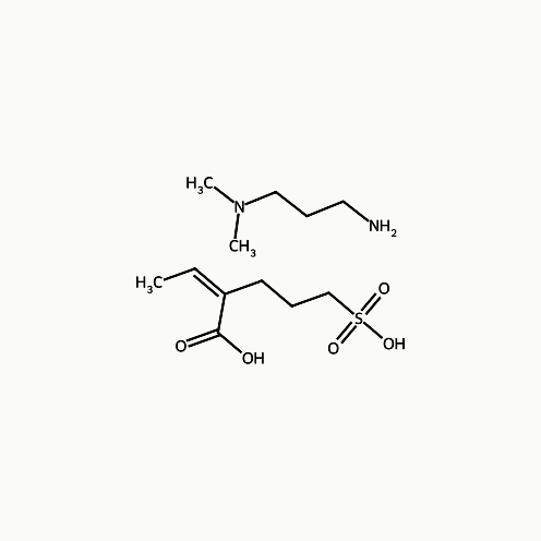 CC=C(CCCS(=O)(=O)O)C(=O)O.CN(C)CCCN